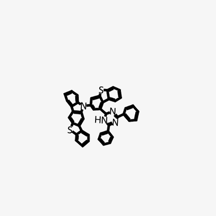 c1ccc(C2=NC(c3cc(-n4c5ccccc5c5cc6sc7ccccc7c6cc54)cc4sc5ccccc5c34)NC(c3ccccc3)=N2)cc1